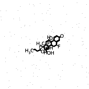 CCCC1O[C@@H]2CC3[C@@H]4C[C@H](F)C5=CC(=O)C=C[C@@]56O[C@@H](C[C@]3(C)[C@]2(C(=O)CO)O1)[C@@]46F